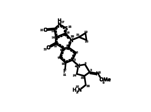 CO/N=C1/CN(c2cc3c(cc2F)c(=O)c2c(=O)[nH]sc2n3C2CC2)CC1CN